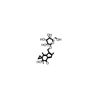 CC1=C(CO[C@@H]2O[C@@H](CO)[C@H](O)[C@@H](O)[C@@H]2O)C2=C(C)C3(CC3)[C@@](C)(O)C(=O)C2=C1